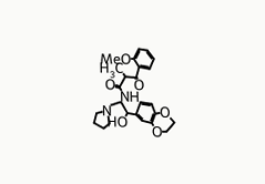 COc1ccccc1C(=O)C(C)C(=O)NC(CN1CCCC1)C(O)c1ccc2c(c1)OCCO2